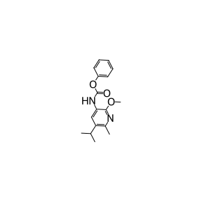 COc1nc(C)c(C(C)C)cc1NC(=O)Oc1ccccc1